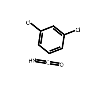 Clc1cccc(Cl)c1.N=C=O